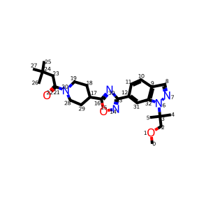 COCC(C)(C)n1ncc2ccc(-c3noc(C4CCN(C(=O)CC(C)(C)C)CC4)n3)cc21